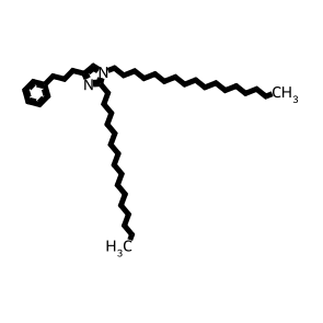 CCCCCCCCCCCCCCCCCn1cc(CCCc2ccccc2)nc1CCCCCCCCCCCCCCCC